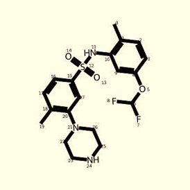 Cc1ccc(OC(F)F)cc1NS(=O)(=O)c1ccc(C)c(N2CCNCC2)c1